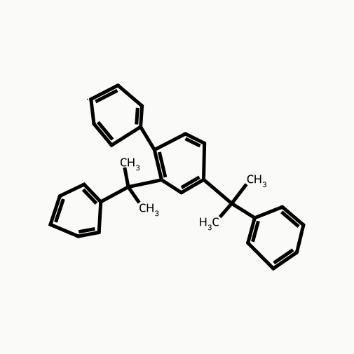 CC(C)(c1ccccc1)c1ccc(-c2cc[c]cc2)c(C(C)(C)c2ccccc2)c1